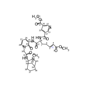 COC(=O)/C=C/CCC(NC(=O)c1cncc(C(=O)OC)c1)C(=O)Nc1cccn(CC(=O)NC2C3CCCC(C3)CN2C)c1=O